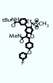 CCN(c1cc2oc(-c3ccc(Oc4cccc(F)c4)cc3)c(C(=O)NC)c2cc1-c1cccc(C(=O)NC(C)(C)C)c1)S(C)(=O)=O